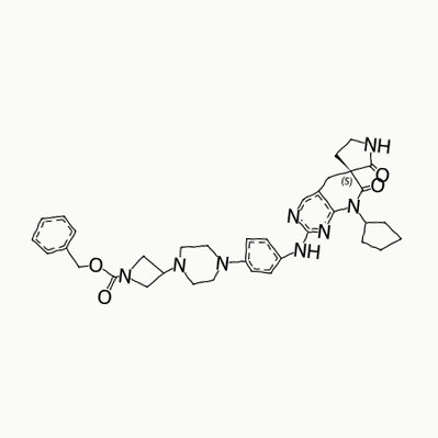 O=C(OCc1ccccc1)N1CC(N2CCN(c3ccc(Nc4ncc5c(n4)N(C4CCCC4)C(=O)[C@]4(CCNC4=O)C5)cc3)CC2)C1